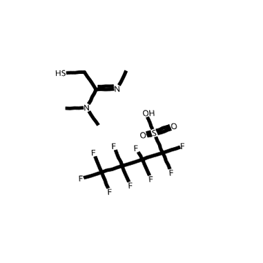 C/N=C(\CS)N(C)C.O=S(=O)(O)C(F)(F)C(F)(F)C(F)(F)C(F)(F)F